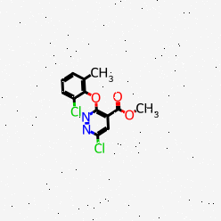 COC(=O)c1cc(Cl)nnc1Oc1c(C)cccc1Cl